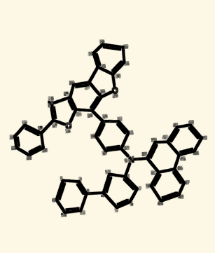 c1ccc(-c2cccc(N(c3ccc(-c4c5oc(-c6ccccc6)nc5cc5c4oc4ccccc45)cc3)c3cc4ccccc4c4ccccc34)c2)cc1